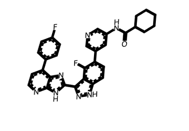 O=C(Nc1cncc(-c2ccc3[nH]nc(-c4nc5c(-c6ccc(F)cc6)ccnc5[nH]4)c3c2F)c1)C1CCCCC1